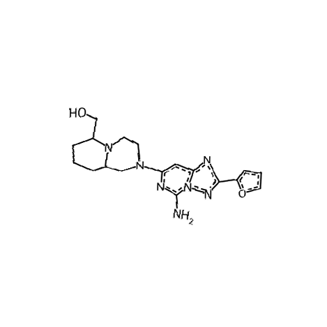 Nc1nc(N2CCN3C(CO)CCCC3C2)cc2nc(-c3ccco3)nn12